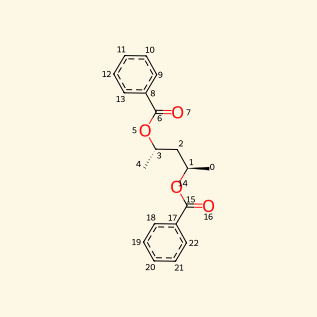 C[C@H](C[C@H](C)OC(=O)c1ccccc1)OC(=O)c1ccccc1